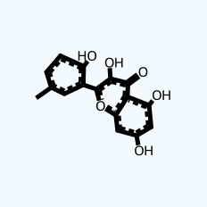 Cc1ccc(O)c(-c2oc3cc(O)cc(O)c3c(=O)c2O)c1